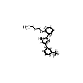 CCCCOc1ncccc1-c1nc(-c2cccc(C(F)(F)F)c2)c[nH]1